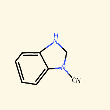 N#CN1CNc2ccccc21